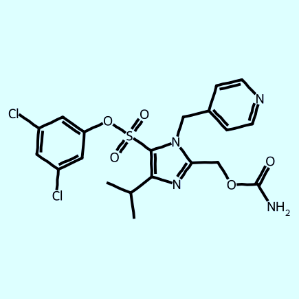 CC(C)c1nc(COC(N)=O)n(Cc2ccncc2)c1S(=O)(=O)Oc1cc(Cl)cc(Cl)c1